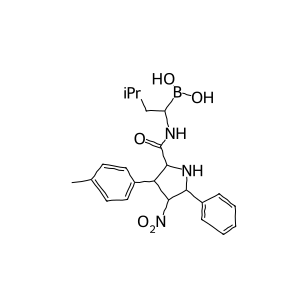 Cc1ccc(C2C(C(=O)NC(CC(C)C)B(O)O)NC(c3ccccc3)C2[N+](=O)[O-])cc1